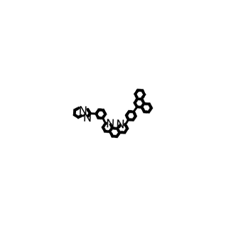 c1cc(-c2ccc3ccc4ccc(-c5ccc(-c6cc7ccccc7c7ccccc67)cc5)nc4c3n2)cc(-c2cn3ccccc3n2)c1